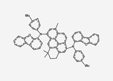 Cc1cc(N(c2ccc(C(C)(C)C)cc2)c2cccc3c2oc2ccccc23)c2cc3c4c(cc(N(c5ccc(C(C)(C)C)cc5)c5cccc6c5oc5ccccc56)c5ccc1c2c54)CCC3(C)C